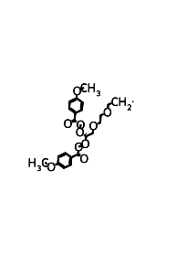 [CH2]COCCOC[C](OOC(=O)c1ccc(OC)cc1)OOC(=O)c1ccc(OC)cc1